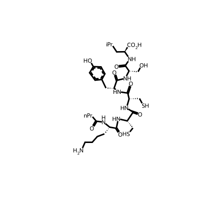 CCCC(=O)N[C@@H](CCCCN)C(=O)N[C@@H](CS)C(=O)N[C@@H](CS)C(=O)N[C@H](Cc1ccc(O)cc1)C(=O)N[C@@H](CO)C(=O)N[C@@H](CC(C)C)C(=O)O